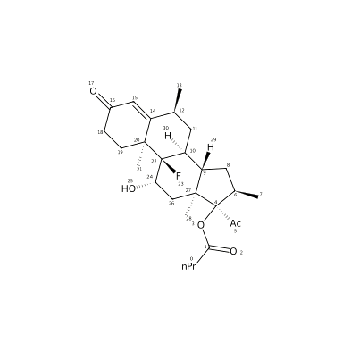 CCCC(=O)O[C@]1(C(C)=O)[C@H](C)C[C@H]2[C@@H]3C[C@H](C)C4=CC(=O)CC[C@]4(C)[C@@]3(F)[C@@H](O)C[C@@]21C